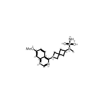 COc1ccc2c(N3CC4(CC(N(C)S(N)(=O)=O)C4)C3)ncnc2c1